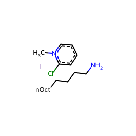 CCCCCCCCCCCCN.C[n+]1ccccc1Cl.[I-]